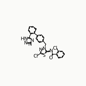 O=C(N=c1sc(Cl)nn1Cc1ccc(-c2ccccc2-c2nnn[nH]2)cc1)c1ccccc1Cl